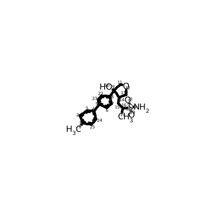 Cc1ccc(-c2ccc(C3(O)COCC3CC(C)S(N)(=O)=O)cc2)cc1